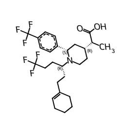 CC(C(=O)O)[C@@H]1CCN([C@H](CCC2=CCCCC2)CCC(F)(F)F)[C@H](c2ccc(C(F)(F)F)cc2)C1